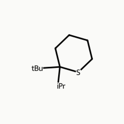 CC(C)C1(C(C)(C)C)CCCCS1